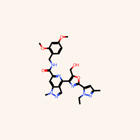 CCn1nc(C)cc1-c1nc(-c2nc(C(=O)NCc3ccc(OC)cc3OC)cc3c2cnn3C)c(CO)o1